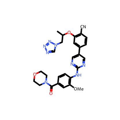 COc1cc(C(=O)N2CCOCC2)ccc1Nc1ncc(-c2ccc(C#N)c(OC(C)Cn3cnnn3)c2)cn1